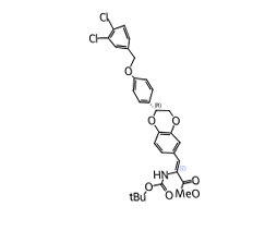 COC(=O)/C(=C/c1ccc2c(c1)OC[C@@H](c1ccc(OCc3ccc(Cl)c(Cl)c3)cc1)O2)NC(=O)OC(C)(C)C